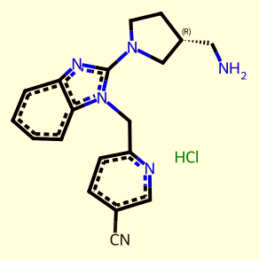 Cl.N#Cc1ccc(Cn2c(N3CC[C@H](CN)C3)nc3ccccc32)nc1